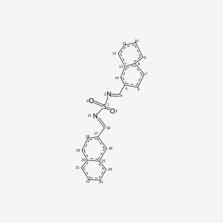 O=S(=O)(N=Cc1ccc2ccccc2c1)N=Cc1ccc2ccccc2c1